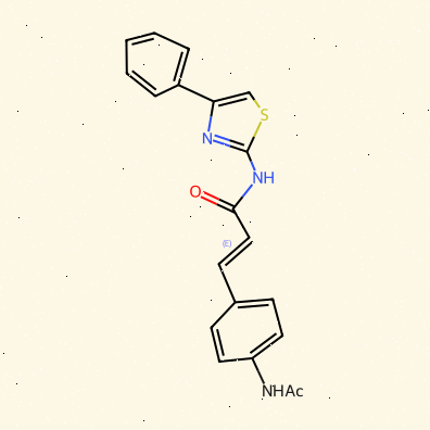 CC(=O)Nc1ccc(/C=C/C(=O)Nc2nc(-c3ccccc3)cs2)cc1